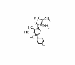 CC(C)[C@@H](N)C(=O)N1CCC(O)(c2ccc(Cl)cc2)CC1C.Cl